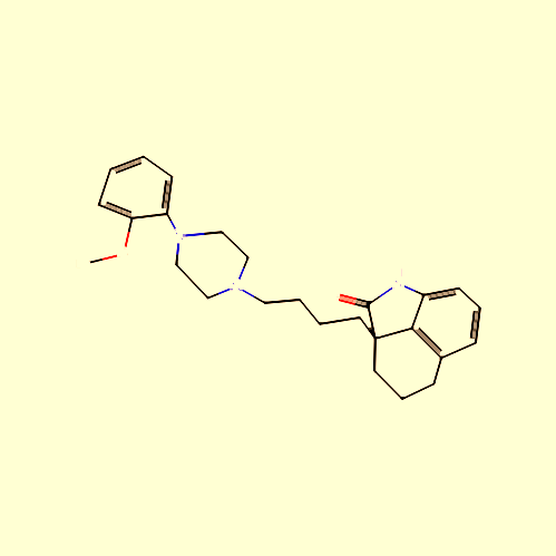 CCOc1ccccc1N1CCN(CCCCC23CCCc4cccc(c42)NC3=O)CC1